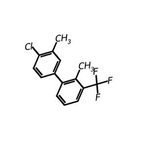 Cc1cc(-c2cccc(C(F)(F)F)c2C)ccc1Cl